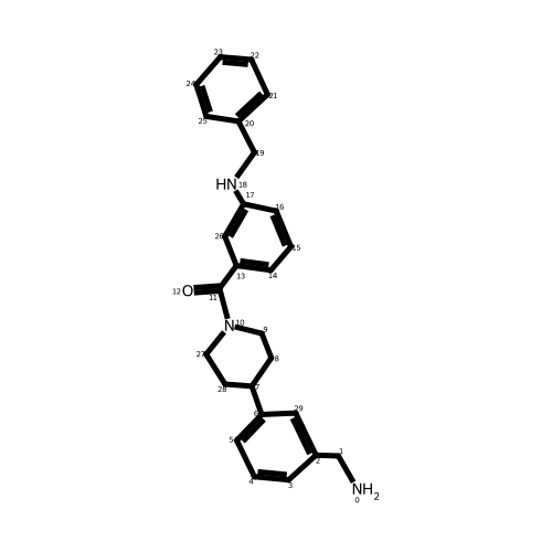 NCc1cccc(C2CCN(C(=O)c3cccc(NCc4ccccc4)c3)CC2)c1